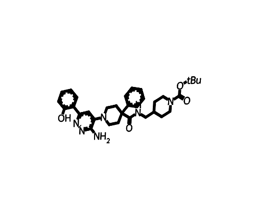 CC(C)(C)OC(=O)N1CCC(CNC(=O)C2(c3ccccc3)CCN(c3cc(-c4ccccc4O)nnc3N)CC2)CC1